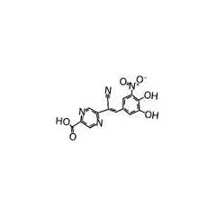 N#CC(=Cc1cc(O)c(O)c([N+](=O)[O-])c1)c1cnc(C(=O)O)cn1